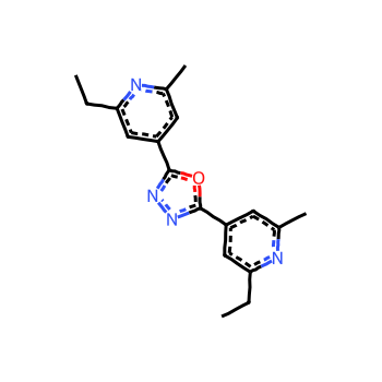 CCc1cc(-c2nnc(-c3cc(C)nc(CC)c3)o2)cc(C)n1